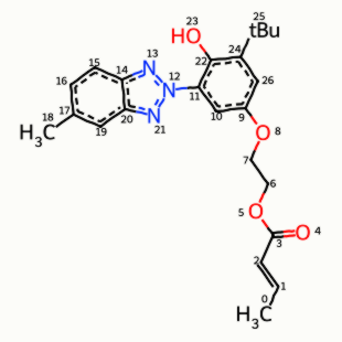 CC=CC(=O)OCCOc1cc(-n2nc3ccc(C)cc3n2)c(O)c(C(C)(C)C)c1